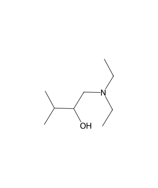 CCN(CC)CC(O)C(C)C